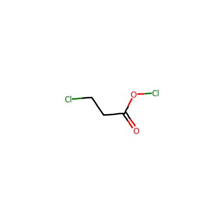 O=C(CCCl)OCl